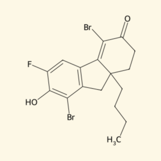 CCCCC12CCC(=O)C(Br)=C1c1cc(F)c(O)c(Br)c1C2